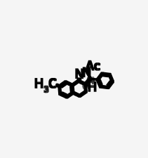 CC(=O)N1N=C2c3cc(C)ccc3CC[C@H]2[C@@H]1c1ccccc1